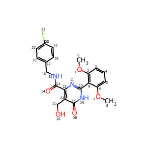 COc1cccc(OC)c1-c1nc(C(=O)NCc2ccc(F)cc2)c(CO)c(=O)[nH]1